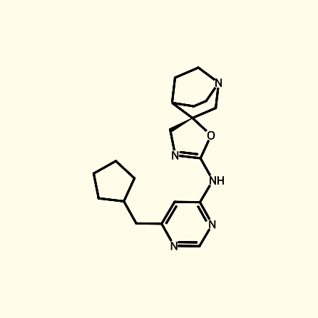 c1nc(CC2CCCC2)cc(NC2=NC[C@@]3(CN4CCC3CC4)O2)n1